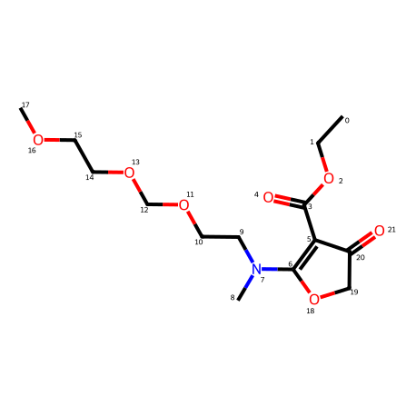 CCOC(=O)C1=C(N(C)CCOCOCCOC)OCC1=O